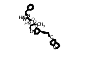 CN1C(=O)[C@@H](NC(=O)c2n[nH]c(Cc3ccccc3)n2)COc2ccc(C#CCCOc3ccc4ncccc4c3)cc21